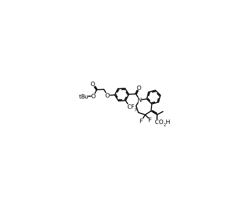 CC(C(=O)O)=C1c2ccccc2N(C(=O)c2ccc(OCC(=O)OC(C)(C)C)cc2C(F)(F)F)CCC1(F)F